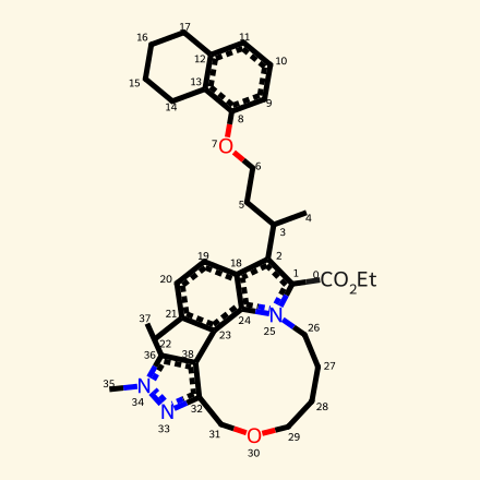 CCOC(=O)c1c(C(C)CCOc2cccc3c2CCCC3)c2ccc(C)c3c2n1CCCCOCc1nn(C)c(C)c1-3